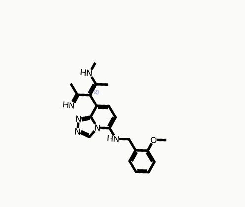 CN/C(C)=C(\C(C)=N)c1ccc(NCc2ccccc2OC)n2cnnc12